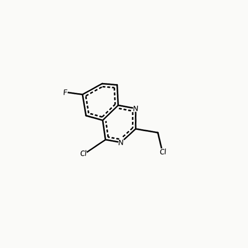 Fc1ccc2nc(CCl)nc(Cl)c2c1